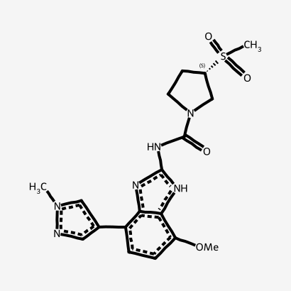 COc1ccc(-c2cnn(C)c2)c2nc(NC(=O)N3CC[C@H](S(C)(=O)=O)C3)[nH]c12